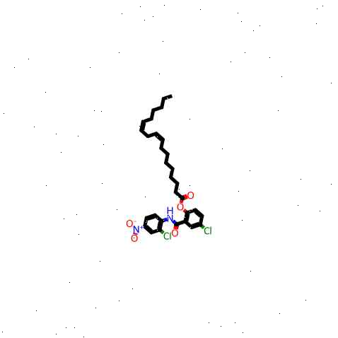 CCCCC/C=C\C/C=C\CCCCCCCC(=O)Oc1ccc(Cl)cc1C(=O)Nc1ccc([N+](=O)[O-])cc1Cl